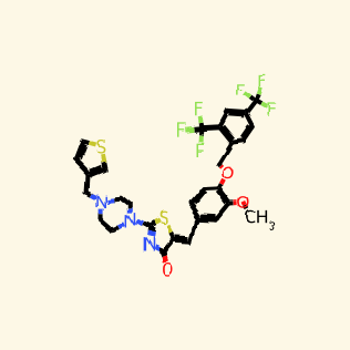 COc1cc(/C=C2\SC(N3CCN(Cc4ccsc4)CC3)=NC2=O)ccc1OCc1ccc(C(F)(F)F)cc1C(F)(F)F